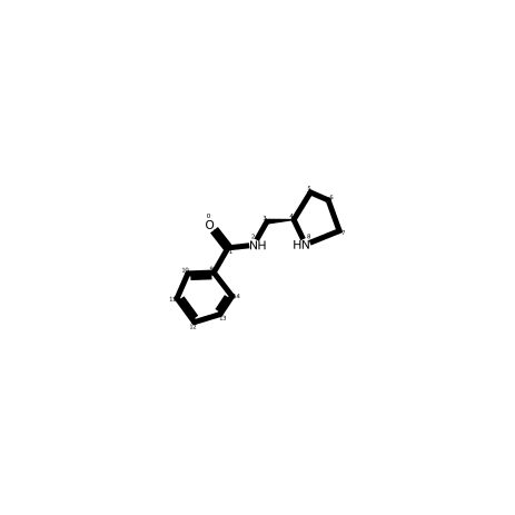 O=C(NC[C@H]1CCCN1)c1ccccc1